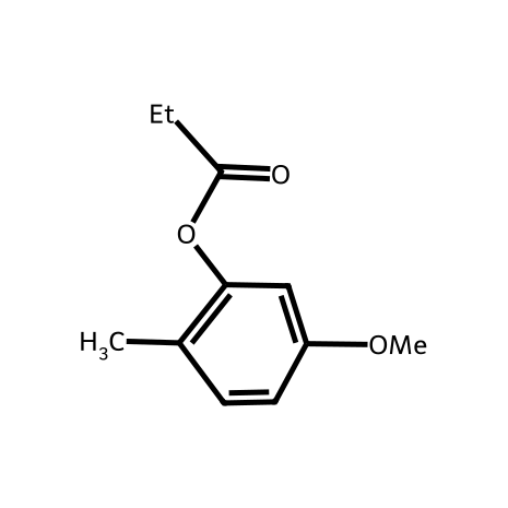 CCC(=O)Oc1cc(OC)ccc1C